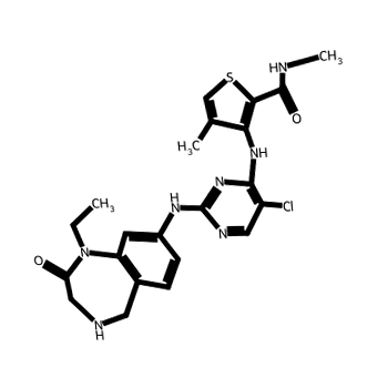 CCN1C(=O)CNCc2ccc(Nc3ncc(Cl)c(Nc4c(C)csc4C(=O)NC)n3)cc21